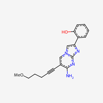 COCCCC#Cc1cn2cc(-c3ccccc3O)nc2nc1N